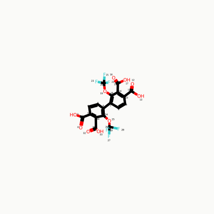 O=C(O)c1ccc(-c2ccc(C(=O)O)c(C(=O)O)c2OC(F)(F)F)c(OC(F)(F)F)c1C(=O)O